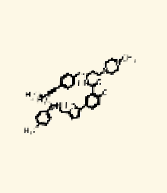 C=CC#Cc1ccc(C[C@H](CCN2CCN(C)CC2)NC(=O)c2cc(-c3ccc(CN[C@H](C)c4ccc(C)cc4)o3)ccc2Cl)cc1